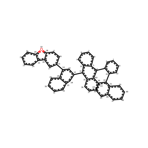 c1ccc(-c2c3ccccc3c(-c3cc(-c4ccc5oc6ccccc6c5c4)c4ccccc4c3)c3ccccc23)c(-c2cccc3ccccc23)c1